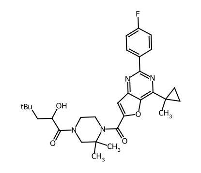 CC(C)(C)CC(O)C(=O)N1CCN(C(=O)c2cc3nc(-c4ccc(F)cc4)nc(C4(C)CC4)c3o2)C(C)(C)C1